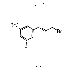 Fc1cc(Br)cc(/C=C/CBr)c1